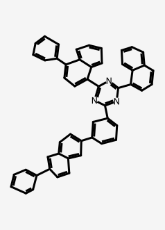 c1ccc(-c2ccc3cc(-c4cccc(-c5nc(-c6cccc7ccccc67)nc(-c6ccc(-c7ccccc7)c7ccccc67)n5)c4)ccc3c2)cc1